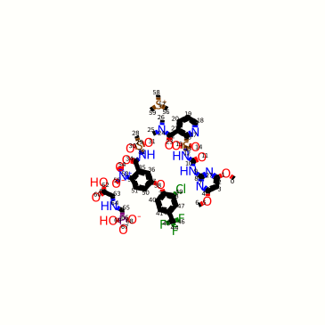 COc1cc(OC)nc(NC(=O)NS(=O)(=O)c2ncccc2C(=O)N(C)C)n1.CS(=O)(=O)NC(=O)c1cc(Oc2ccc(C(F)(F)F)cc2Cl)ccc1[N+](=O)[O-].C[S+](C)C.O=C(O)CNCP(=O)([O-])O